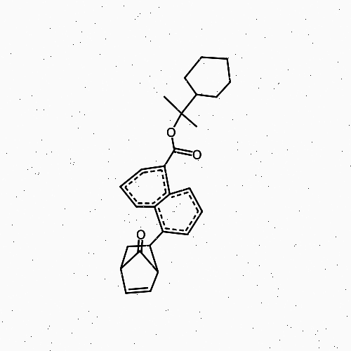 CC(C)(OC(=O)c1cccc2c(C3CC4C=CC3C4=O)cccc12)C1CCCCC1